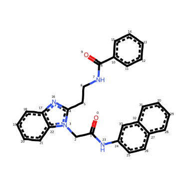 O=C(Cn1c(CCNC(=O)c2ccccc2)nc2ccccc21)Nc1ccc2ccccc2c1